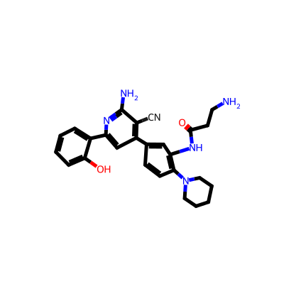 N#Cc1c(-c2ccc(N3CCCCC3)c(NC(=O)CCN)c2)cc(-c2ccccc2O)nc1N